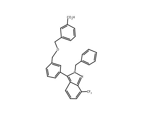 O=C(O)c1cccc(COCc2cccc(-c3c4cccc(C(F)(F)F)c4nn3Cc3ccccc3)c2)c1